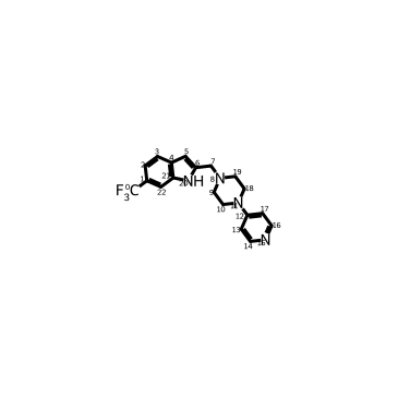 FC(F)(F)c1ccc2cc(CN3CCN(c4ccncc4)CC3)[nH]c2c1